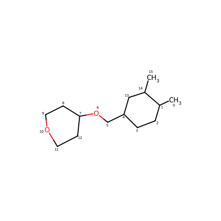 CC1CCC(COC2CCOCC2)CC1C